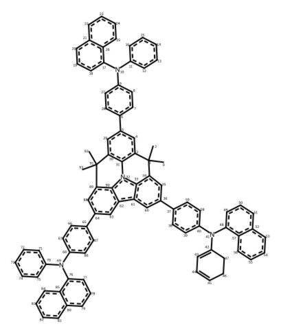 CC1(C)c2cc(-c3ccc(N(c4ccccc4)c4cccc5ccccc45)cc3)cc3c2-n2c4c1cc(-c1ccc(N(C5=CC=CCC5)c5cccc6ccccc56)cc1)cc4c1cc(-c4ccc(N(c5ccccc5)c5cccc6ccccc56)cc4)cc(c12)C3(C)C